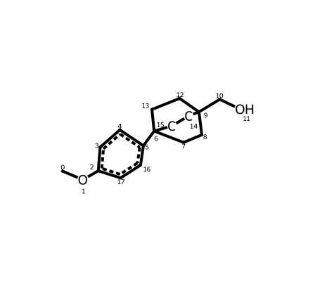 COc1ccc(C23CCC(CO)(CC2)CC3)cc1